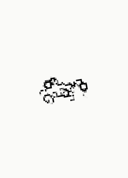 O=c1cc(COC2CCCCO2)occ1OC(CCCCn1ccc2ccc(Cl)cc21)n1ccc2ccc(Cl)cc21